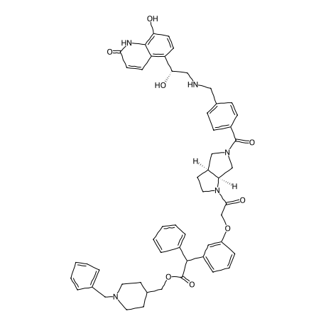 O=C(OCC1CCN(Cc2ccccc2)CC1)C(c1ccccc1)c1cccc(OCC(=O)N2CC[C@H]3CN(C(=O)c4ccc(CNC[C@H](O)c5ccc(O)c6[nH]c(=O)ccc56)cc4)C[C@H]32)c1